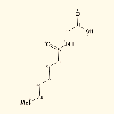 CCC(O)CNC(=O)CCCCCNC